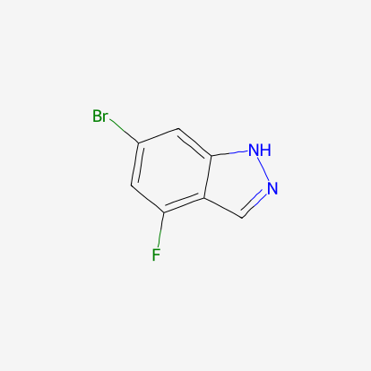 Fc1cc(Br)cc2[nH]ncc12